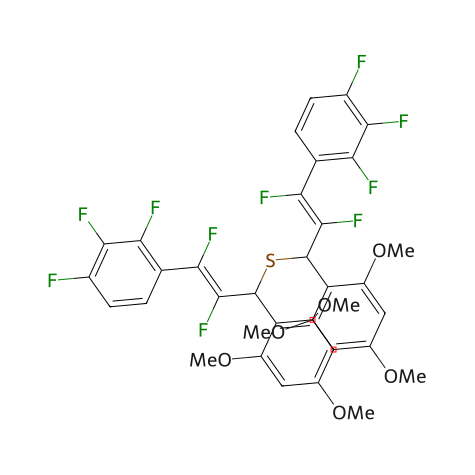 COc1cc(OC)c(C(SC(C(F)=C(F)c2ccc(F)c(F)c2F)c2c(OC)cc(OC)cc2OC)C(F)=C(F)c2ccc(F)c(F)c2F)c(OC)c1